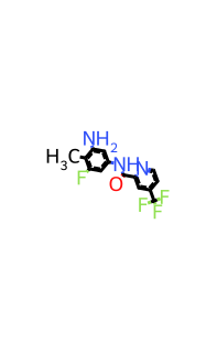 Cc1c(N)cc(NC(=O)c2cc(C(F)(F)F)ccn2)cc1F